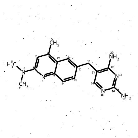 Cc1cc(N(C)C)nc2ccc(Cc3cnc(N)nc3N)cc12